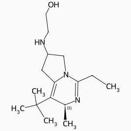 CCC1=N[C@@H](C)C(C(C)(C)C)=C2CC(NCCO)CN12